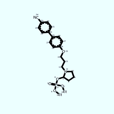 CCOP(=O)(OCC)OC1CCCN1CCCOc1ccc(-c2ccc(C#N)cc2)cc1